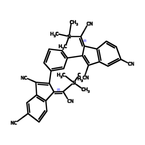 C[Si](C)(C)/C(C#N)=C1\C(c2cccc(C3=C(C#N)c4cc(C#N)ccc4/C3=C(\C#N)[Si](C)(C)C)c2)=C(C#N)c2cc(C#N)ccc21